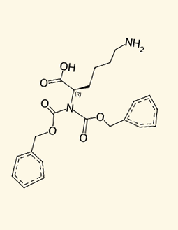 NCCCC[C@H](C(=O)O)N(C(=O)OCc1ccccc1)C(=O)OCc1ccccc1